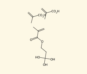 C=C(C)C(=O)O.C=C(C)C(=O)O.C=C(C)C(=O)OCCC(O)(O)O